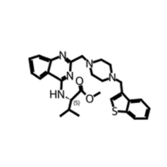 COC(=O)[C@@H](Nc1nc(CN2CCN(Cc3csc4ccccc34)CC2)nc2ccccc12)C(C)C